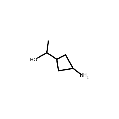 CC(O)C1CC(N)C1